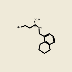 CC(C)(C)CC[C@H](NCc1cccc2c1CCCC2)C(=O)O